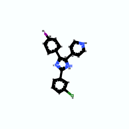 Clc1cccc(-c2nc(-c3ccc(I)cc3)c(-c3ccncc3)[nH]2)c1